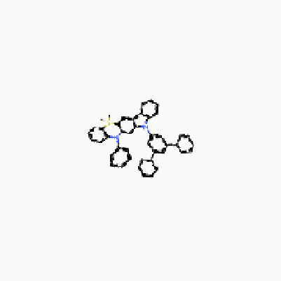 CS1(C)c2ccccc2N(c2ccccc2)c2cc3c(cc21)c1ccccc1n3-c1cc(-c2ccccc2)cc(-c2ccccc2)c1